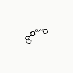 c1cc(C2CCC3CCCCN32)ccc1OCCN1CCCCC1